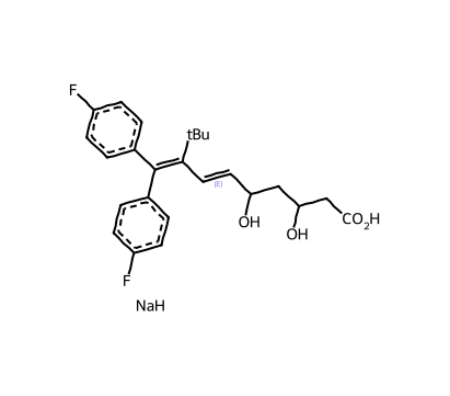 CC(C)(C)C(/C=C/C(O)CC(O)CC(=O)O)=C(c1ccc(F)cc1)c1ccc(F)cc1.[NaH]